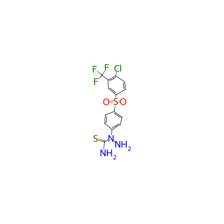 NC(=S)N(N)c1ccc(S(=O)(=O)c2ccc(Cl)c(C(F)(F)F)c2)cc1